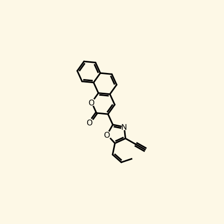 C#Cc1nc(-c2cc3ccc4ccccc4c3oc2=O)oc1/C=C\C